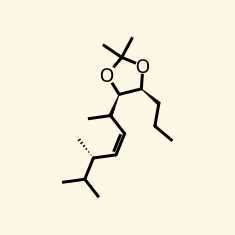 CCC[C@@H]1OC(C)(C)O[C@@H]1C(C)/C=C\[C@@H](C)C(C)C